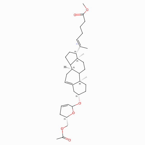 COC(=O)CCC/C=C(\C)[C@H]1CCC2[C@@H]3CC=C4C[C@@H](OC5C=CC[C@@H](COC(C)=O)O5)CC[C@]4(C)C3CC[C@@]21C